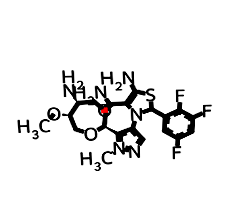 CO[C@H]1CO[C@H](c2c(N3C(C(N)=O)=C(N)SC3c3cc(F)cc(F)c3F)cnn2C)CC[C@H]1N